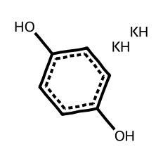 Oc1ccc(O)cc1.[KH].[KH]